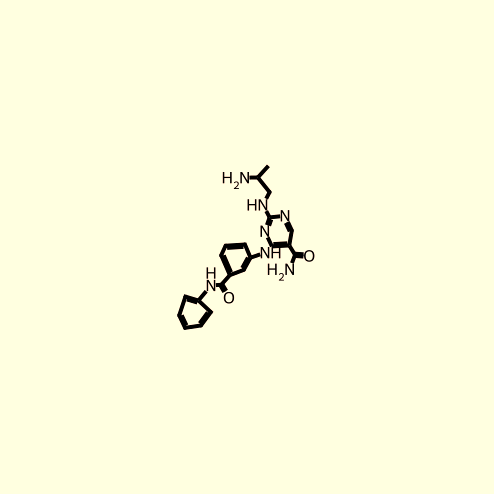 CC(N)CNc1ncc(C(N)=O)c(Nc2cccc(C(=O)Nc3ccccc3)c2)n1